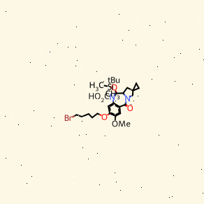 COc1cc2c(cc1OCCCCCBr)N(C(=O)O)C(O[Si](C)(C)C(C)(C)C)C1CC3(CC3)CN1C2=O